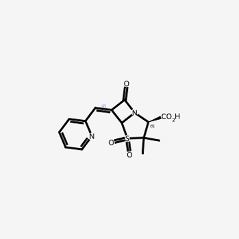 CC1(C)[C@H](C(=O)O)N2C(=O)/C(=C/c3ccccn3)C2S1(=O)=O